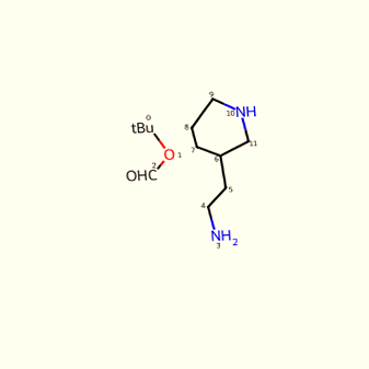 CC(C)(C)OC=O.NCCC1CCCNC1